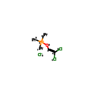 CC(C)[P+](OC=C(Cl)Cl)(C(C)C)C(C)C.[Cl-]